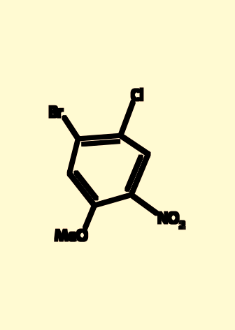 COc1cc(Br)c(Cl)cc1[N+](=O)[O-]